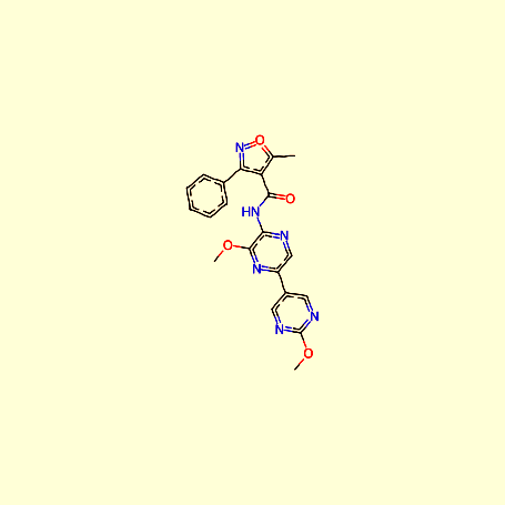 COc1ncc(-c2cnc(NC(=O)c3c(-c4ccccc4)noc3C)c(OC)n2)cn1